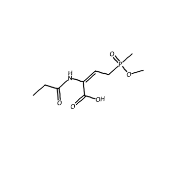 CCC(=O)NC(=CCP(C)(=O)OC)C(=O)O